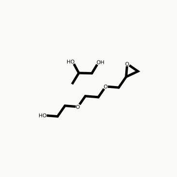 CC(O)CO.OCCOCCOCC1CO1